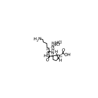 Cl.Cl.NCCCC[C@H](N)C(=O)N[C@@]1(C(=O)O)CC[C@H]2[C@H](C(=O)O)[C@H]21